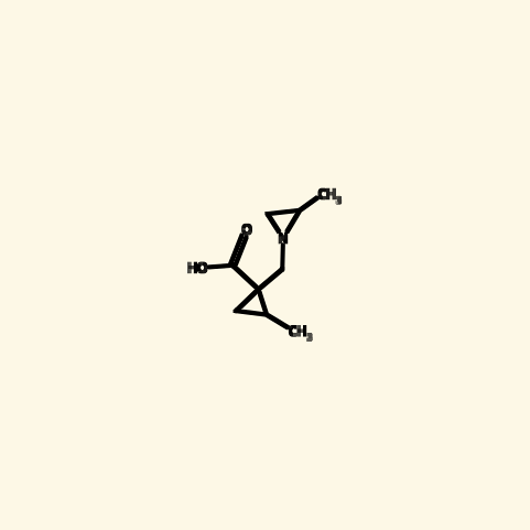 CC1CN1CC1(C(=O)O)CC1C